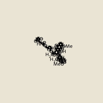 C=C(COC1CCCC(COCC(=O)NCCN2C(=O)C=CC2=O)O1)[C@]1(O)Cc2c(O)c3c(c(O)c2[C@@H](OC2C[C@H]4[C@H](O[C@@H]5[C@@H](OC)OCCN54)[C@H](C)O2)C1)C(=O)c1c(OC)cccc1C3=O